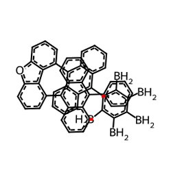 Bc1c(B)c(B)c(-c2c3ccccc3c(-c3cccc4oc5cccc(-c6c7ccccc7c(-c7ccccc7)c7ccccc67)c5c34)c3ccccc23)c(B)c1B